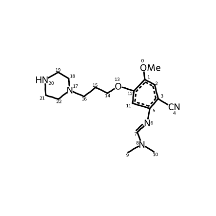 COc1cc(C#N)c(N=CN(C)C)cc1OCCCN1CCNCC1